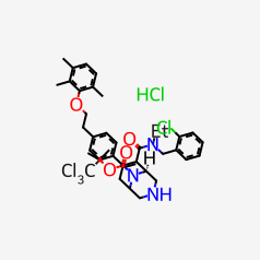 CCN(Cc1ccccc1Cl)C(=O)C1=C(c2ccc(CCOc3c(C)ccc(C)c3C)cc2)CC2CNC[C@H]1N2C(=O)OC(C)(C)C(Cl)(Cl)Cl.Cl